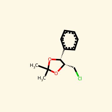 CC1(C)O[C@@H](CCl)[C@@H](c2ccccc2)O1